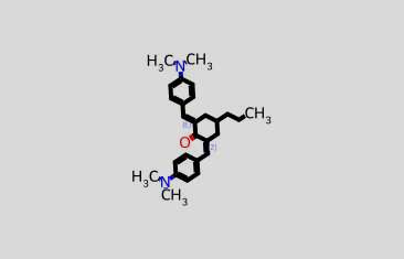 CCCC1C/C(=C/c2ccc(N(C)C)cc2)C(=O)/C(=C/c2ccc(N(C)C)cc2)C1